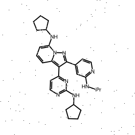 CC(C)Nc1cc(-c2nn3c(NC4CCCC4)cccc3c2-c2ccnc(NC3CCCC3)n2)ccn1